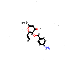 C/C=C/c1oc(C(=O)O)cc(=O)c1OCc1ccc(N)cc1